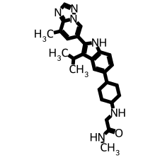 CNC(=O)CNC1CCC(c2ccc3[nH]c(-c4cc(C)c5ncnn5c4)c(C(C)C)c3c2)CC1